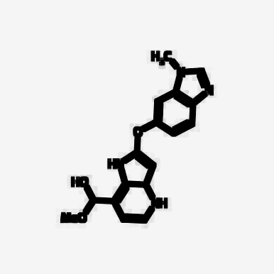 COC(O)C1=C2NC(Oc3ccc4ncn(C)c4c3)=CC2NC=C1